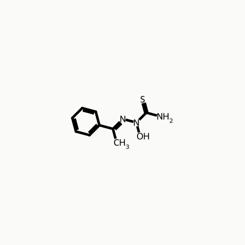 CC(=NN(O)C(N)=S)c1ccccc1